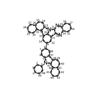 c1ccc(-n2c3ccc(-c4cc5c6nc7ccccc7nc6n6c7ccc8ccccc8c7c(c4)c56)cc3c3ccc4ccccc4c32)cc1